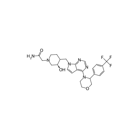 NC(=O)CN1CCC(Cn2ccc3c(N4CCOCC4c4ccc(C(F)(F)F)cc4)ncnc32)[C@@H](O)C1